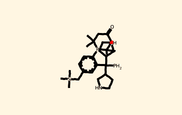 CC1(C)CC(=O)CC(C)(C)P1c1ccc(C[Si](C)(C)C)cc1C(P)(C1CCNC1)C1CCNC1